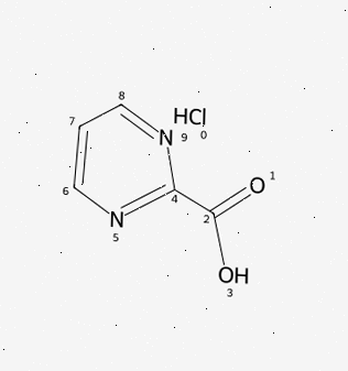 Cl.O=C(O)c1ncccn1